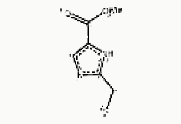 COC(=O)c1cnc(CC(C)=O)[nH]1